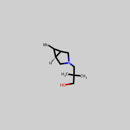 CC(C)(CO)CN1CC2C(C(C)(C)C)[C@@H]2C1